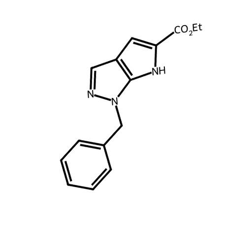 CCOC(=O)c1cc2cnn(Cc3ccccc3)c2[nH]1